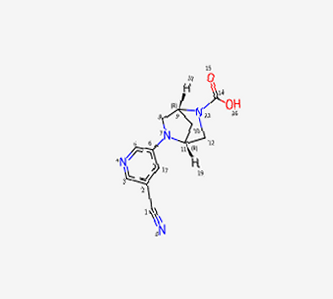 N#Cc1cncc(N2C[C@H]3C[C@@H]2CN3C(=O)O)c1